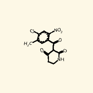 Cc1cc(C(=O)C2C(=O)CCNC2=O)c([N+](=O)[O-])cc1Cl